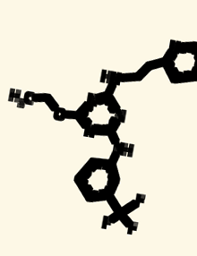 CCOc1nc(NCCc2ccccn2)nc(Nc2cccc(C(F)(F)F)c2)n1